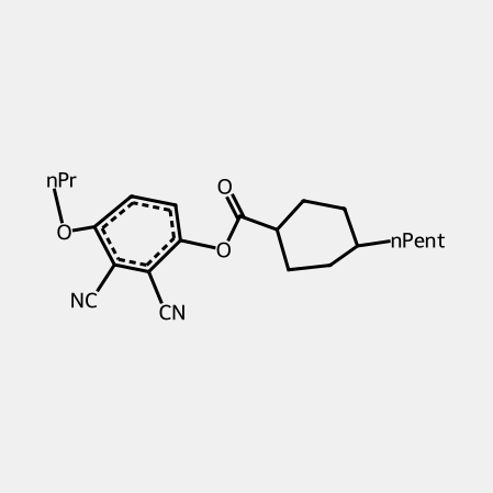 CCCCCC1CCC(C(=O)Oc2ccc(OCCC)c(C#N)c2C#N)CC1